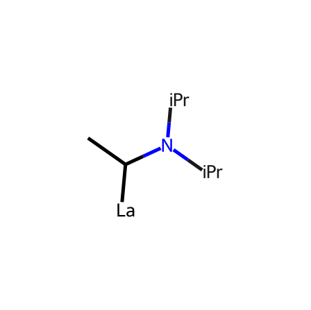 CC(C)N(C(C)C)[CH](C)[La]